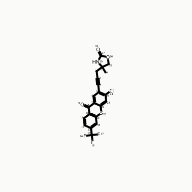 CC1(CC#Cc2cc3c(=O)c4ccc(C(F)(F)F)cc4sc3cc2Cl)COC(=O)N1